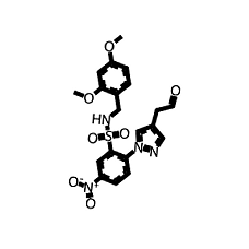 COc1ccc(CNS(=O)(=O)c2cc([N+](=O)[O-])ccc2-n2cc(CC=O)cn2)c(OC)c1